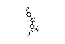 FCCOc1ccc(-c2nc(-c3ccc(CCl)cc3)no2)cc1C(F)(F)F